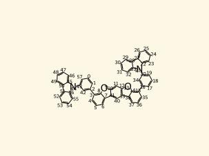 c1cc(-c2cccc3c2oc2cc4oc5c(-c6cccc(-n7c8ccccc8c8ccccc87)c6)cccc5c4cc23)cc(-n2c3ccccc3c3ccccc32)c1